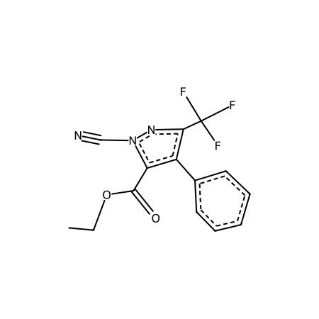 CCOC(=O)c1c(-c2ccccc2)c(C(F)(F)F)nn1C#N